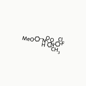 COc1ccc(CNC(=O)c2ccc(C)n(-c3ccc(F)c(Cl)c3)c2=O)cc1